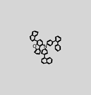 c1ccc(-c2ccccc2-c2ccc(N(c3ccc(-c4cccc5ccccc45)cc3)c3ccc(-c4cccc5ccccc45)c4oc5ccccc5c34)cc2)cc1